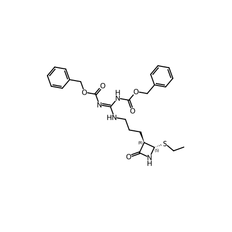 CCS[C@@H]1NC(=O)[C@H]1CCCNC(=NC(=O)OCc1ccccc1)NC(=O)OCc1ccccc1